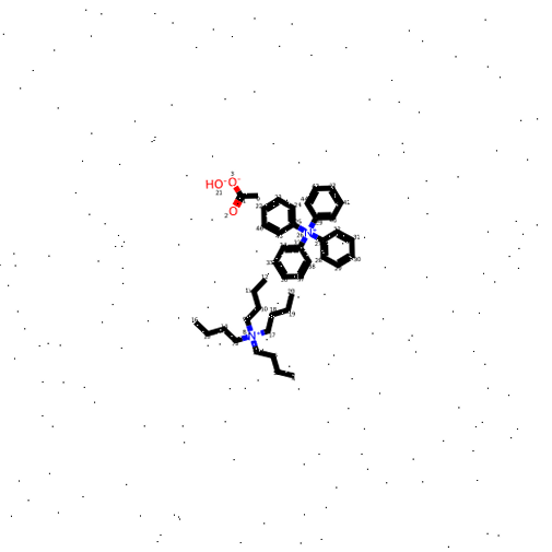 CC(=O)[O-].CCCC[N+](CCCC)(CCCC)CCCC.[OH-].c1ccc([N+](c2ccccc2)(c2ccccc2)c2ccccc2)cc1